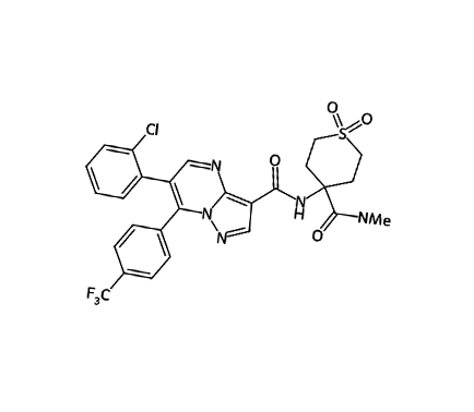 CNC(=O)C1(NC(=O)c2cnn3c(-c4ccc(C(F)(F)F)cc4)c(-c4ccccc4Cl)cnc23)CCS(=O)(=O)CC1